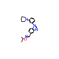 CC(C)ON=Cc1ccc2c(c1)ncn2-c1cccc(N2CCCCC2)c1